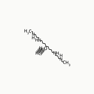 CCNCCCNCCCCCCCCNCCCNCC.Cl.Cl.Cl.Cl.O